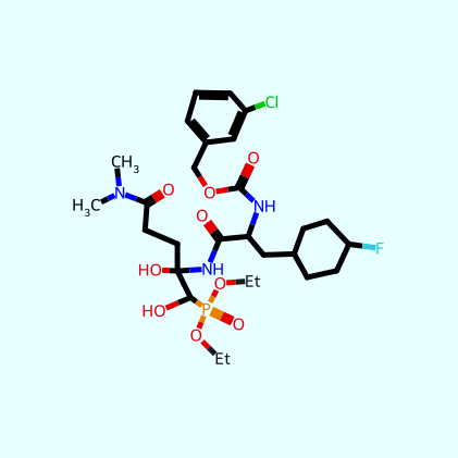 CCOP(=O)(OCC)C(O)C(O)(CCC(=O)N(C)C)NC(=O)C(CC1CCC(F)CC1)NC(=O)OCc1cccc(Cl)c1